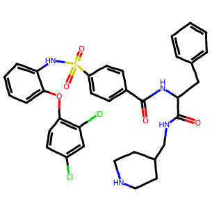 O=C(NC(Cc1ccccc1)C(=O)NCC1CCNCC1)c1ccc(S(=O)(=O)Nc2ccccc2Oc2ccc(Cl)cc2Cl)cc1